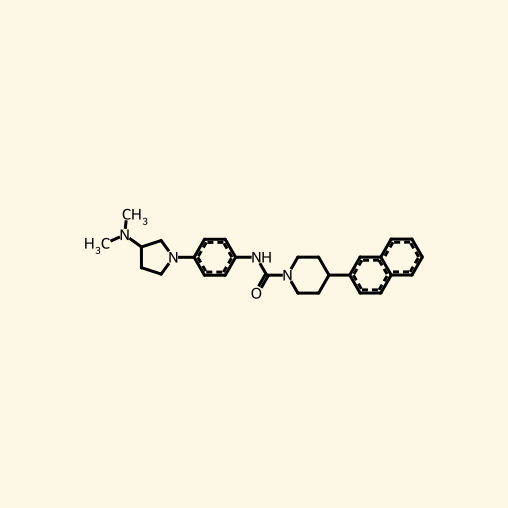 CN(C)C1CCN(c2ccc(NC(=O)N3CCC(c4ccc5ccccc5c4)CC3)cc2)C1